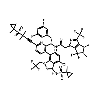 C[C@@H]1c2c(C(F)(F)F)nn(CC(=O)N[C@@H](Cc3cc(F)cc(F)c3)c3nc(C#CC(C)(C)S(=O)(=O)C4(C)CC4)ccc3-c3ccc(Cl)c4c(NS(=O)(=O)C5(C)CC5)nn(CC(F)(F)F)c34)c2C(F)(F)[C@@H]1C